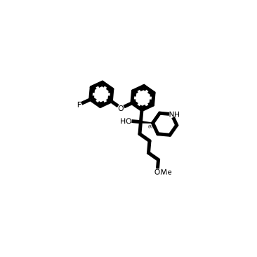 COCCCCC(O)(c1ccccc1Oc1cccc(F)c1)[C@@H]1CCCNC1